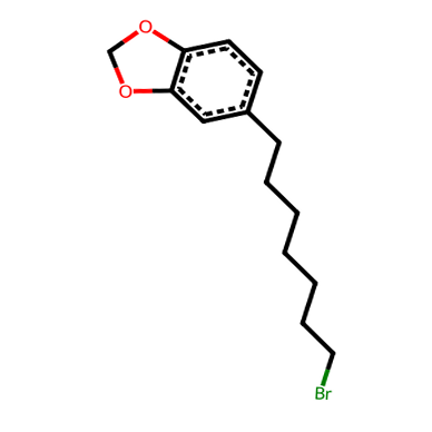 BrCCCCCCCc1ccc2c(c1)OCO2